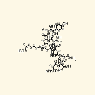 CCC[C@@H](O)[C@H](C)C(=O)N1CC[C@H](O)[C@H]1C(=O)N[C@H](OCCN)[C@H](O)C[C@H](NC(=O)CCCCCCCC[C@@H](C)C[C@@H](C)CC)C(=O)N[C@H](C(=O)N1C[C@H](O)C[C@H]1C(=O)N[C@H](C(C)=O)[C@H](O)[C@@H](O)c1ccc(O)cc1)[C@@H](C)O